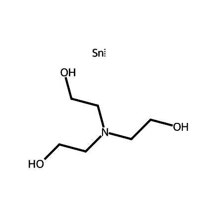 OCCN(CCO)CCO.[Sn]